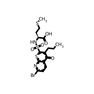 CCCc1c(S(=O)(=O)N[C@@H](CCSC)C(=O)O)sc2nc(Br)ccc2c1=O